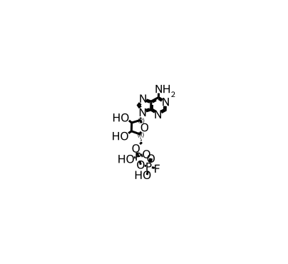 Nc1ncnc2c1ncn2[C@@H]1O[C@H](COP(=O)(O)OP(=O)(O)F)C(O)C1O